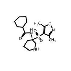 Cc1noc(C)c1S(=O)(=O)[C@@]1(NC(=O)C2CCCCC2)CCCNC1